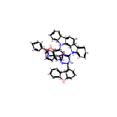 c1ccc(-c2nc(-c3cccc4oc5ccccc5c34)nc(-n3c4ccccc4c4ccc5c6ccccc6n(-c6cccc7nc(-c8ccccc8)oc67)c5c43)n2)cc1